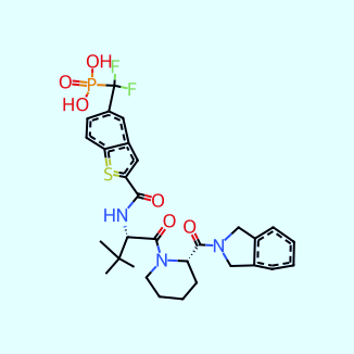 CC(C)(C)[C@H](NC(=O)c1cc2cc(C(F)(F)P(=O)(O)O)ccc2s1)C(=O)N1CCCC[C@H]1C(=O)N1Cc2ccccc2C1